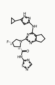 O=C(Nc1ncns1)[C@@H]1C[C@H](F)CN1c1nc2c(c(Nc3cc(C4CC4)[nH]n3)n1)CCC2